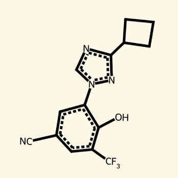 N#Cc1cc(-n2cnc(C3CCC3)n2)c(O)c(C(F)(F)F)c1